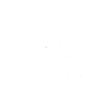 COc1cc2c(N)c3cnc(-c4ccccc4)nc3nc2cc1C